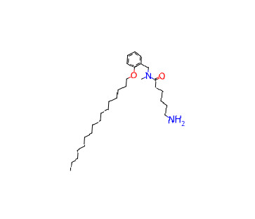 CCCCCCCCCCCCCCCCOc1ccccc1CN(C)C(=O)CCCCCN